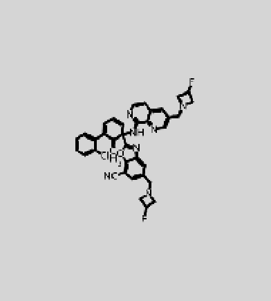 CC1C(c2ccccc2Cl)=CC=CC1(Nc1nccc2cc(CN3CC(F)C3)cnc12)c1nc2cc(CN3CC(F)C3)cc(C#N)c2o1